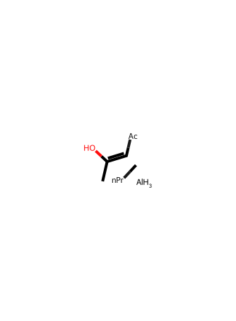 CC(=O)/C=C(/C)O.CCCC.[AlH3]